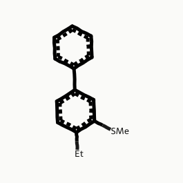 CCc1ccc(-c2ccccc2)cc1SC